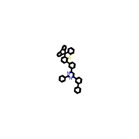 c1ccc(-c2cccc(-c3cc(-c4cccc(-c5cccc6c5Sc5ccccc5C65c6ccccc6-c6ccccc65)c4)nc(-c4ccccc4)n3)c2)cc1